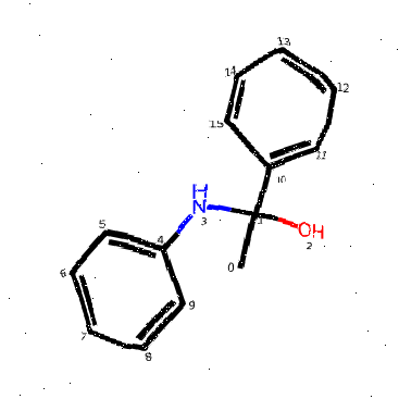 CC(O)(Nc1ccccc1)c1ccccc1